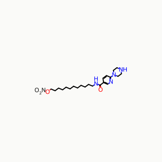 O=C(NCCCCCCCCCCCCO[N+](=O)[O-])c1ccc(N2CCNCC2)nc1